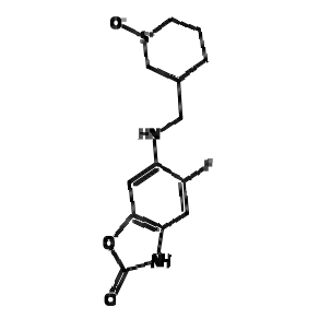 O=c1[nH]c2cc(F)c(NCC3CCC[S+]([O-])C3)cc2o1